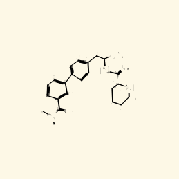 CN(C)C(=O)c1cccc(-c2ccc(CC(C#N)NC(=O)[C@@H]3CCCCN3)cc2)c1